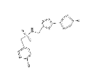 O=S(=O)(Cc1ccc(Cl)cc1)NCc1ccc(-c2ccc(Cl)cc2)s1